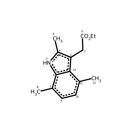 CCOC(=O)Cc1c(C)[nH]c2c(C)ccc(C)c12